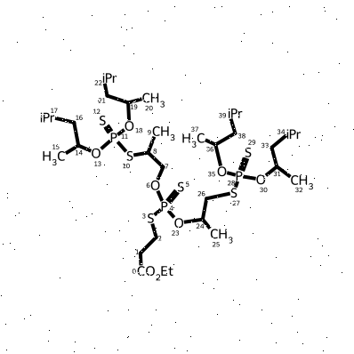 CCOC(=O)CCSP(=S)(OCC(C)SP(=S)(OC(C)CC(C)C)OC(C)CC(C)C)OC(C)CSP(=S)(OC(C)CC(C)C)OC(C)CC(C)C